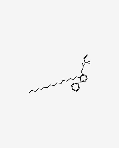 C=CC(=O)OCCc1ccc[n+](-[n+]2ccccc2)c1CCCCCCCCCCCCCCCC